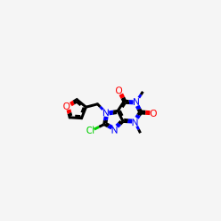 Cn1c(=O)c2c(nc(Cl)n2Cc2ccoc2)n(C)c1=O